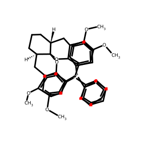 COc1cc(P(c2ccccc2)c2ccccc2)c2c(c1OC)C[C@H]1CCC[C@@H]3Cc4c(OC)c(OC)cc(P(c5ccccc5)c5ccccc5)c4OC13O2